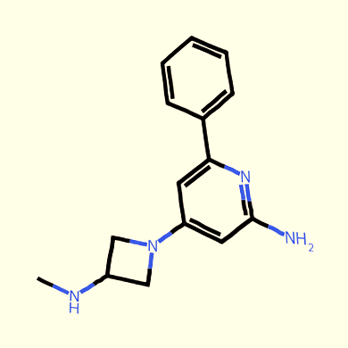 CNC1CN(c2cc(N)nc(-c3ccccc3)c2)C1